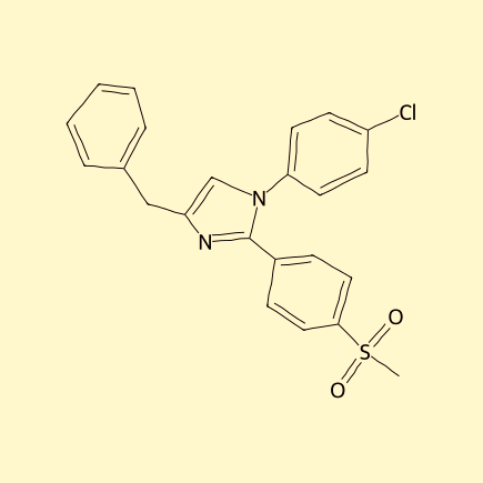 CS(=O)(=O)c1ccc(-c2nc(Cc3ccccc3)cn2-c2ccc(Cl)cc2)cc1